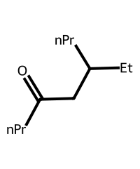 CCCC(=O)CC(CC)CCC